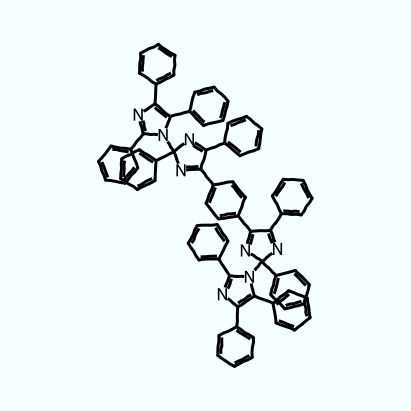 c1ccc(C2=NC(c3ccccc3)(n3c(-c4ccccc4)nc(-c4ccccc4)c3-c3ccccc3)N=C2c2ccc(C3=NC(c4ccccc4)(n4c(-c5ccccc5)nc(-c5ccccc5)c4-c4ccccc4)N=C3c3ccccc3)cc2)cc1